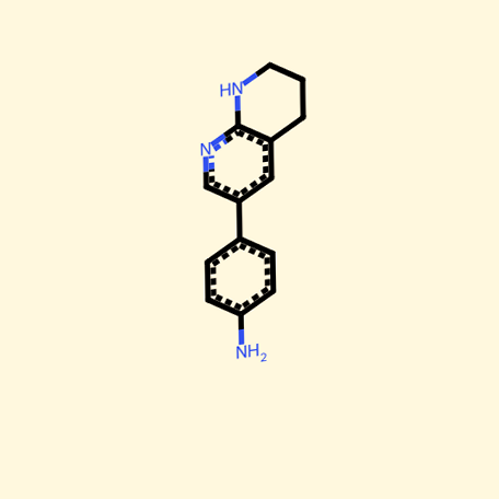 Nc1ccc(-c2cnc3c(c2)CCCN3)cc1